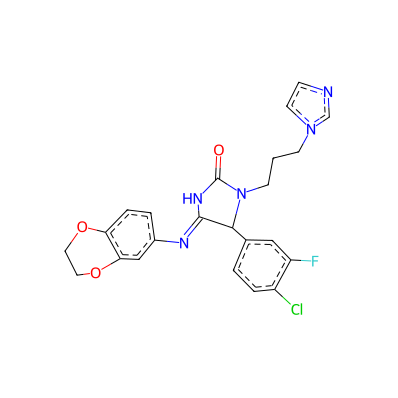 O=C1NC(=Nc2ccc3c(c2)OCCO3)C(c2ccc(Cl)c(F)c2)N1CCCn1ccnc1